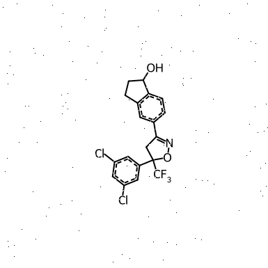 OC1CCc2cc(C3=NOC(c4cc(Cl)cc(Cl)c4)(C(F)(F)F)C3)ccc21